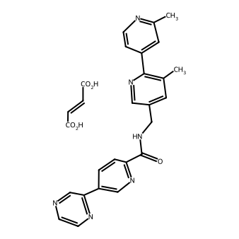 Cc1cc(-c2ncc(CNC(=O)c3ccc(-c4cnccn4)cn3)cc2C)ccn1.O=C(O)/C=C/C(=O)O